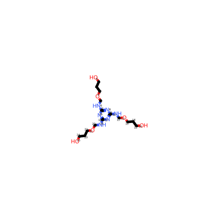 OCCCOCNc1nc(NCOCCCO)nc(NCOCCCO)n1